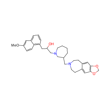 COc1ccc2c(CC(O)CN3CCCCC(CN4CCc5cc6c(cc5CC4)OCO6)C3)cccc2c1